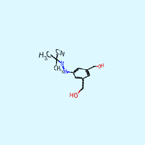 CC(C)(C#N)N=Nc1cc(CO)cc(CO)c1